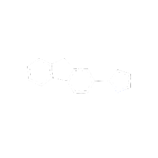 [c]1c(-c2ccc[nH]2)ccc2c1Cc1ccccc1-2